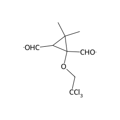 CC1(C)C([C]=O)C1([C]=O)OCC(Cl)(Cl)Cl